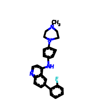 CN1CCN(c2ccc(Nc3ccnc4ccc(-c5ccccc5F)cc34)cc2)CC1